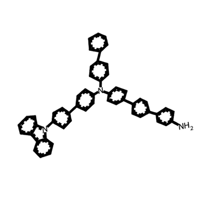 Nc1ccc(-c2ccc(-c3ccc(N(c4ccc(-c5ccccc5)cc4)c4ccc(-c5ccc(-n6c7ccccc7c7ccccc76)cc5)cc4)cc3)cc2)cc1